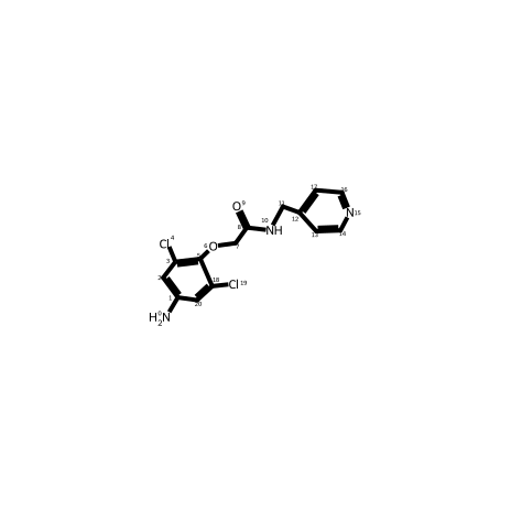 Nc1cc(Cl)c(OCC(=O)NCc2ccncc2)c(Cl)c1